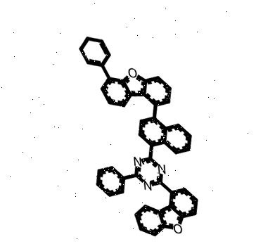 C1=CC(c2cccc3c2oc2cccc(-c4ccc(-c5nc(-c6ccccc6)nc(-c6cccc7oc8ccccc8c67)n5)c5ccccc45)c23)=CCC1